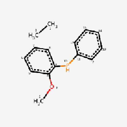 CC.COc1ccccc1Pc1ccccc1